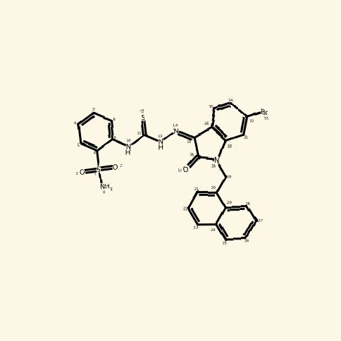 NS(=O)(=O)c1ccccc1NC(=S)NN=C1C(=O)N(Cc2cccc3ccccc23)c2cc(Br)ccc21